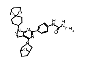 CNC(=O)Nc1ccc(-c2nc(N3CC4CCC(C3)O4)c3cnn(C4CCC5(CC4)OCCCO5)c3n2)cc1